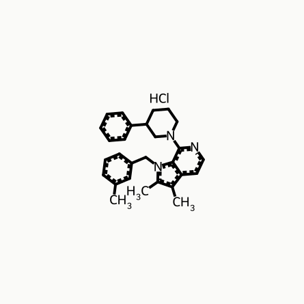 Cc1cccc(Cn2c(C)c(C)c3ccnc(N4CCCC(c5ccccc5)C4)c32)c1.Cl